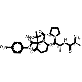 COC(C)(C)[C@]1(C(=O)Nc2ccc([N+](=O)[O-])cc2)C(=O)CCC(=O)N1C(=O)[C@@H]1CCCN1C(=O)[C@H](C)NC(=O)[C@H](C)N